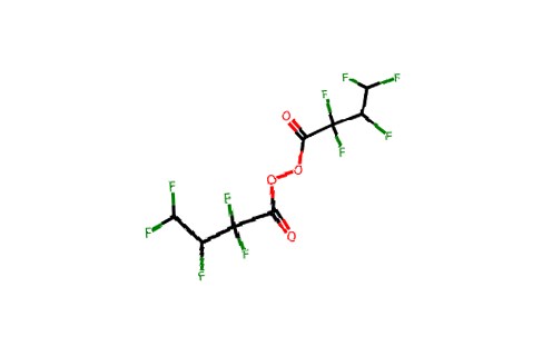 O=C(OOC(=O)C(F)(F)C(F)C(F)F)C(F)(F)C(F)C(F)F